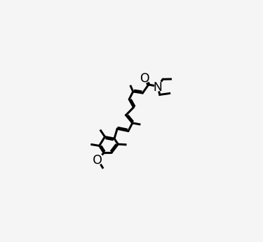 CCN(CC)C(=O)C=C(C)C=CC=C(C)C=Cc1c(C)cc(OC)c(C)c1C